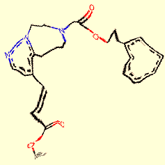 CC(C)(C)OC(=O)/C=C/c1cnn2c1CN(C(=O)OCc1ccccc1)CC2